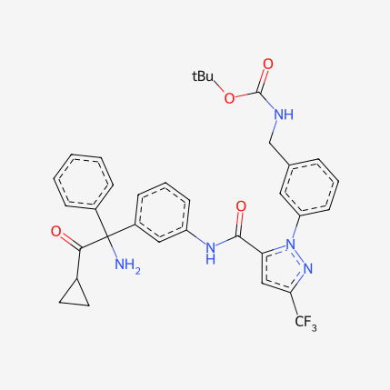 CC(C)(C)OC(=O)NCc1cccc(-n2nc(C(F)(F)F)cc2C(=O)Nc2cccc(C(N)(C(=O)C3CC3)c3ccccc3)c2)c1